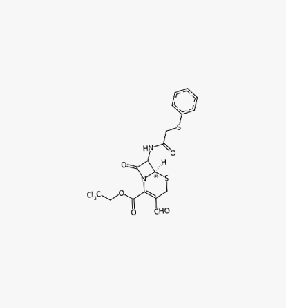 O=CC1=C(C(=O)OCC(Cl)(Cl)Cl)N2C(=O)C(NC(=O)CSc3ccccc3)[C@H]2SC1